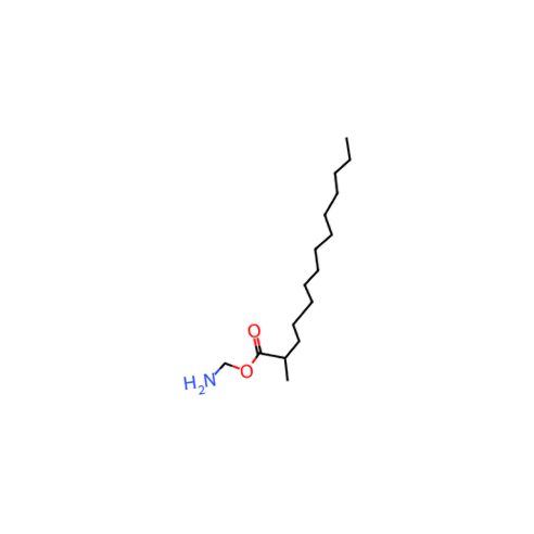 CCCCCCCCCCCCC(C)C(=O)OCN